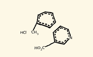 Cc1ccccc1.Cl.O=C(O)c1cccnc1